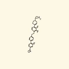 C=CC1CC=C(c2ccc(CCc3ccc(-c4ccc(C5CO5)cc4F)cc3)c(F)c2F)CC1